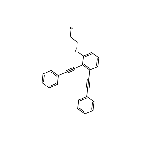 BrCCOc1cccc(C#Cc2ccccc2)c1C#Cc1ccccc1